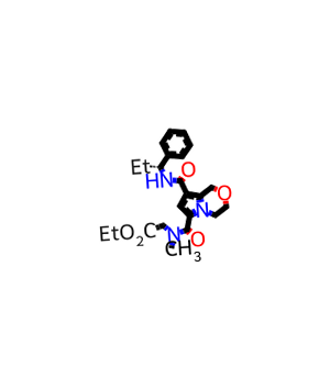 CCOC(=O)CN(C)C(=O)c1cc(C(=O)N[C@H](CC)c2ccccc2)c2n1CCOC2